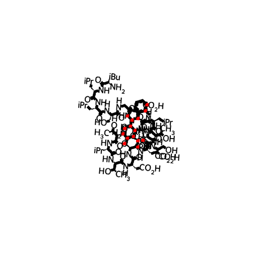 CC[C@H](C)[C@H](N)C(=O)N[C@@H](CC(C)C)C(=O)N[C@@H](CC(C)C)C(=O)N[C@@H](CO)C(=O)NCC(=O)N[C@@H](Cc1ccccc1)C(=O)N[C@@H](CC(C)C)C(=O)N[C@H](C(=O)N[C@H](C(=O)N[C@H](C(=O)N[C@@H](CC(=O)O)C(=O)N[C@@H](CC(N)=O)C(=O)N[C@@H](CCC(=O)O)C(=O)N[C@H](C(=O)N[C@@H](CCC(=O)O)C(=O)N[C@@H](C)C(=O)N1CCC[C@H]1C(=O)N[C@@H](CC(C)C)C(=O)N[C@@H](CO)C(=O)N[C@@H](CO)C(=O)O)[C@@H](C)O)[C@@H](C)O)C(C)C)[C@@H](C)O